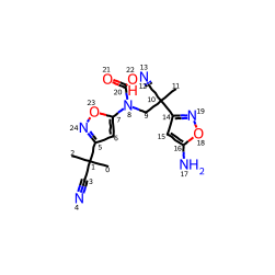 CC(C)(C#N)c1cc(N(CC(C)(C#N)c2cc(N)on2)C(=O)O)on1